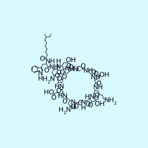 CCC(C)CCCCCCC(=O)NC(Cc1c[nH]c2ccccc12)C(=O)NC(CC(N)=O)C(=O)NC(CC(=O)O)C(=O)NC1C(=O)N(C)CC(=O)NC(C)C(=O)NC(CC(=O)O)C(=O)NC(CCCCN)C(=O)NC(C(OC)C(=O)O)C(=O)NCC(=O)NC(CC(N)=O)C(=O)NC(CCC(=O)O)C(=O)NC(C(C)C)C(=O)OC1C